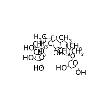 C[C@H](CC[C@@H](O[C@H]1C[C@@H](O)C[C@@H](CO)O1)C(C)(C)O)C1CC[C@@]2(C)C3CC=C4C(CC[C@H](O[C@H]5C[C@@H](O)C[C@@H](CO)O5)C4(C)C)[C@]3(C)[C@H](O)C[C@]12C